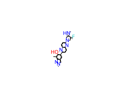 CN[C@H]1CN(c2ccc3nc(-c4cc5cn(C)nc5c(C)c4O)ccc3n2)C[C@H]1F